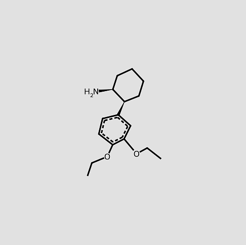 CCOc1ccc([C@@H]2CCCC[C@@H]2N)cc1OCC